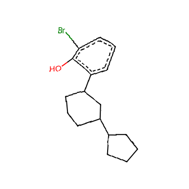 Oc1c(Br)cccc1C1CCCC(C2CCCC2)C1